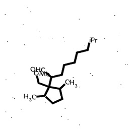 COCC1(C(C=O)CCCCCC(C)C)C(C)CCC1C